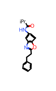 CC(C)C(=O)Nc1ccc2oc(CCc3ccccc3)nc2c1